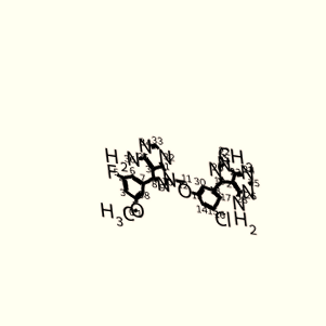 COc1cc(F)cc(-c2nn(COc3cc(Cl)cc(-c4nn(C)c5ncnc(N)c45)c3)c3ncnc(N)c23)c1